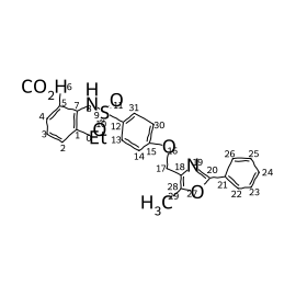 CCc1cccc(C(=O)O)c1NS(=O)(=O)c1ccc(OCc2nc(-c3ccccc3)oc2C)cc1